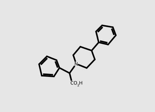 O=C(O)C(c1ccccc1)N1CCC(c2ccccc2)CC1